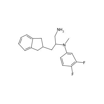 CN(c1ccc(F)c(F)c1)C(CN)CC1Cc2ccccc2C1